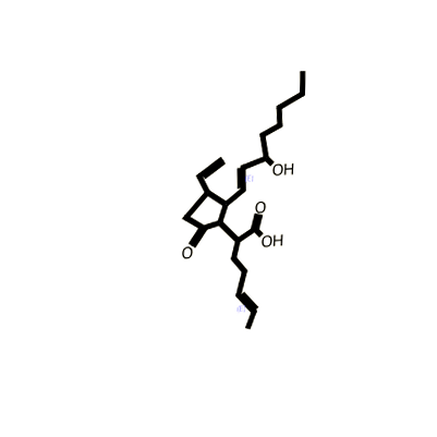 C=CC1CC(=O)C(C(CC/C=C/C)C(=O)O)C1/C=C/C(O)CCCCC